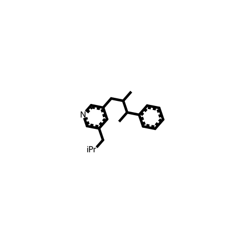 CC(C)Cc1cncc(CC(C)C(C)c2ccccc2)c1